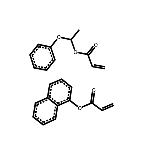 C=CC(=O)OC(C)Oc1ccccc1.C=CC(=O)Oc1cccc2ccccc12